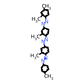 Cc1ccc(N=Nc2ccc(N=Nc3ccc(N=Nc4ccc(C)cc4C)cc3C)cc2C)cc1